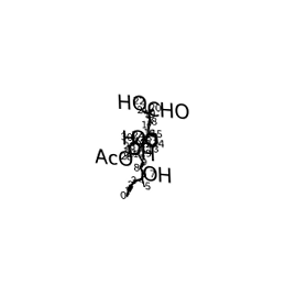 CC#CC[C@H](C)[C@H](O)/C=C/[C@@H]1[C@H]2c3cccc(CCC(C=O)CO)c3O[C@H]2C[C@H]1OC(C)=O